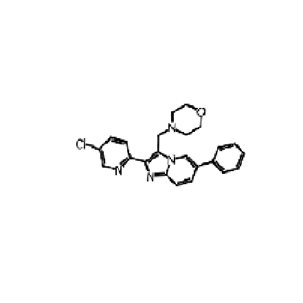 Clc1ccc(-c2nc3ccc(-c4ccccc4)cn3c2CN2CCOCC2)nc1